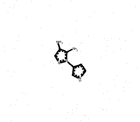 Nc1cnn(-c2cc[nH]c2)c1N